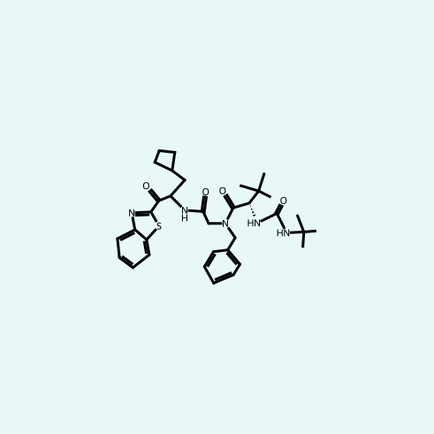 CC(C)(C)NC(=O)N[C@H](C(=O)N(CC(=O)NC(CC1CCC1)C(=O)c1nc2ccccc2s1)Cc1ccccc1)C(C)(C)C